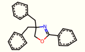 c1ccc(CC2(Cc3ccccc3)COC(c3ccccc3)=N2)cc1